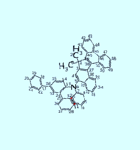 CC1(C)c2cc(N(c3ccccc3)c3ccc(-c4ccccc4)cc3-c3ccccc3)c3ccccc3c2-c2c1c1ccccc1c1ccccc21